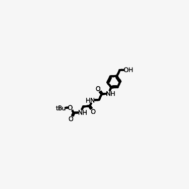 CC(C)(C)OC(=O)NCC(=O)NCC(=O)Nc1ccc(CO)cc1